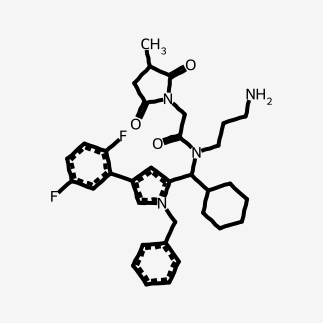 CC1CC(=O)N(CC(=O)N(CCCN)C(c2cc(-c3cc(F)ccc3F)cn2Cc2ccccc2)C2CCCCC2)C1=O